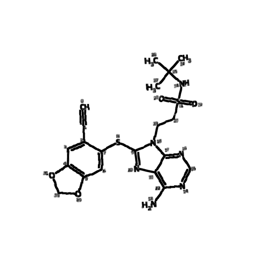 C#Cc1cc2c(cc1Sc1nc3c(N)ncnc3n1CCS(=O)(=O)NC(C)(C)C)OCO2